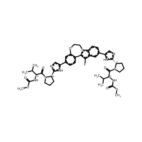 COC(=O)N[C@H](C(=O)N1CCC[C@@H]1c1ncc(-c2ccc3c(c2)OCCn2c-3c(F)c3cc(-c4cnc([C@@H]5CCCN5C(=O)[C@@H](NC(=O)OC)C(C)C)[nH]4)ccc32)[nH]1)C(C)C